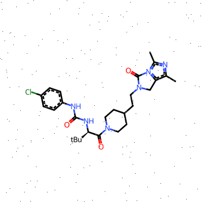 Cc1nc(C)n2c1CN(CCC1CCN(C(=O)[C@H](NC(=O)Nc3ccc(Cl)cc3)C(C)(C)C)CC1)C2=O